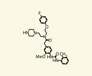 COc1cc(CC(=O)N(CCOc2ccc(F)cc2)CCN2CCNCC2)ccc1NC(=O)Nc1ccccc1C